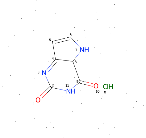 Cl.O=C1N=C2C=CNC2C(=O)N1